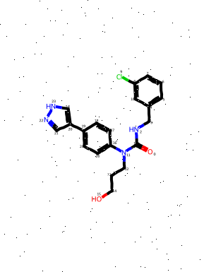 O=C(NCc1cccc(Cl)c1)N(CCCO)c1ccc(-c2cn[nH]c2)cc1